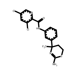 NC1=NC(c2cccc(NC(=O)c3ncc(Cl)cc3Cl)c2)(C(F)(F)F)CCS1